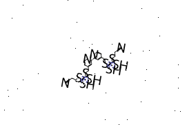 N#CCCS/C(S)=C(/S)SCc1ccnc(-c2cc(CS/C(S)=C(/S)SCCC#N)ccn2)c1